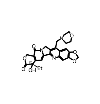 CC[C@@]1(O)C(=O)OCc2c1cc1n(c2=O)Cc2c-1nc1cc3c(cc1c2CN1CCOCC1)OCO3